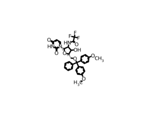 COc1ccc(C(OC[C@@H]2O[C@H](n3ccc(=O)[nH]c3=O)C(NC(=O)C(F)(F)F)C2O)(c2ccccc2)c2ccc(OC)cc2)cc1